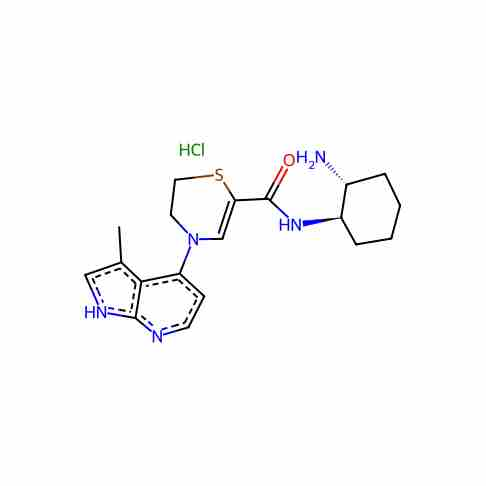 Cc1c[nH]c2nccc(N3C=C(C(=O)N[C@@H]4CCCC[C@H]4N)SCC3)c12.Cl